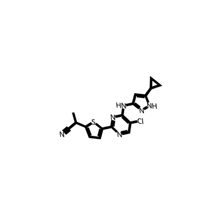 CC(C#N)c1ccc(-c2ncc(Cl)c(Nc3cc(C4CC4)[nH]n3)n2)s1